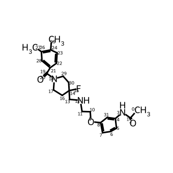 CC(=O)Nc1cccc(OCCNCC2(F)CCN(C(=O)c3ccc(C)c(C)c3)CC2)c1